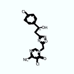 N#Cc1ncn(Cc2nc(C[C@H](O)c3ccc(Cl)cc3)no2)c(=O)c1Cl